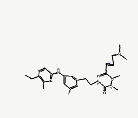 CCc1ncc(Nc2cc(F)cc(CCNC(=O)[C@H](C)N(C)C(=O)/C=C/CN(C)C)c2)nc1C